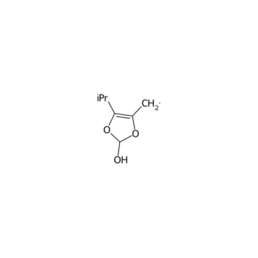 [CH2]C1=C(C(C)C)OC(O)O1